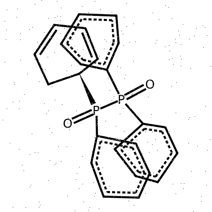 O=P(c1ccccc1)(c1ccccc1)P(=O)(c1ccccc1)[C@@H]1C=CC=CC1